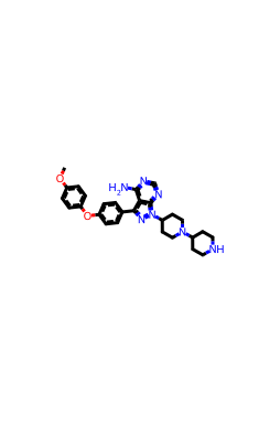 COc1ccc(Oc2ccc(-c3nn(C4CCN(C5CCNCC5)CC4)c4ncnc(N)c34)cc2)cc1